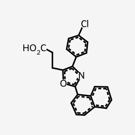 O=C(O)CCc1oc(-c2cccc3ccccc23)nc1-c1ccc(Cl)cc1